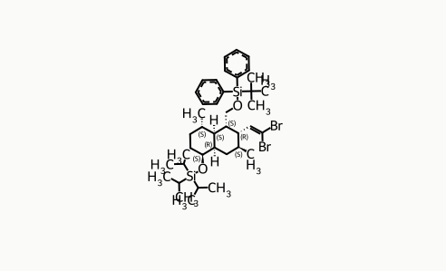 CC(C)[Si](O[C@H]1CC[C@H](C)[C@H]2[C@H](CO[Si](c3ccccc3)(c3ccccc3)C(C)(C)C)[C@H](C=C(Br)Br)[C@@H](C)C[C@H]21)(C(C)C)C(C)C